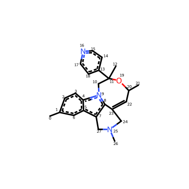 Cc1ccc2c(c1)c1c3n2CC(C)(c2ccncc2)OC(C)/C=C\3CN(C)C1